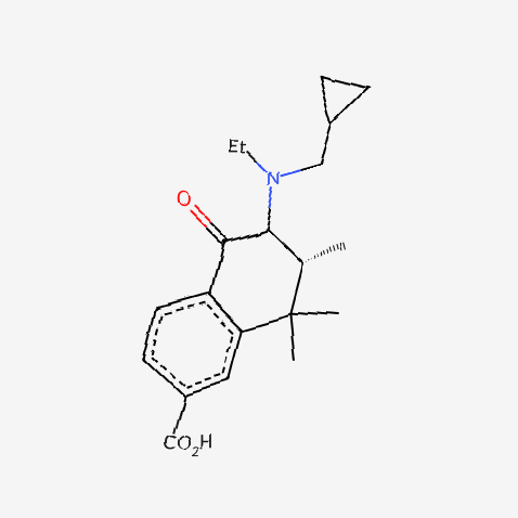 CCN(CC1CC1)C1C(=O)c2ccc(C(=O)O)cc2C(C)(C)[C@H]1C